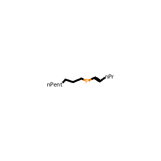 CCC/C=C/[P]CCCCCCCC